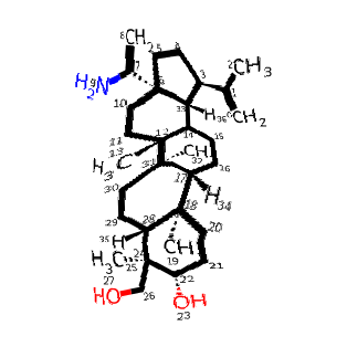 C=C(C)[C@@H]1CC[C@]2(C(=C)N)CC[C@]3(C)C(CC[C@@H]4[C@@]5(C)CC[C@H](O)[C@@](C)(CO)[C@@H]5CC[C@]43C)[C@@H]12